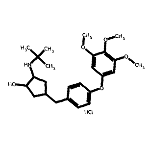 COc1cc(Oc2ccc(CC3CC(O)C(NC(C)(C)C)C3)cc2)cc(OC)c1OC.Cl